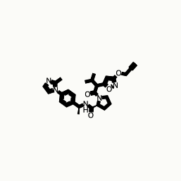 C#CCOc1cc(C(C(=O)N2CCC[C@H]2C(=O)N[C@@H](C)c2ccc(-n3ccnc3C)cc2)C(C)C)on1